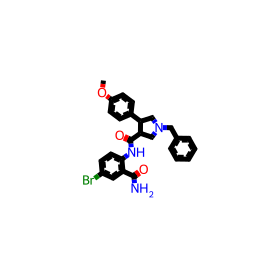 COc1ccc(C2CN(Cc3ccccc3)CC2C(=O)Nc2ccc(Br)cc2C(N)=O)cc1